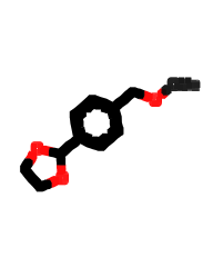 COOCc1ccc(C2OCCO2)cc1